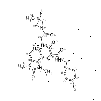 Cn1c(=O)n(C)c2c3cc(C(=O)NCc4ccc(Cl)cc4)c(=O)n(CC(=O)N4CC(C)(F)C4)c3ncc21